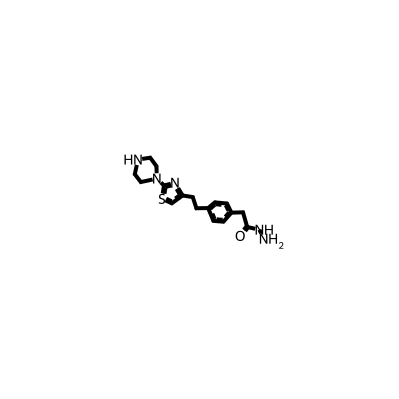 NNC(=O)Cc1ccc(CCc2csc(N3CCNCC3)n2)cc1